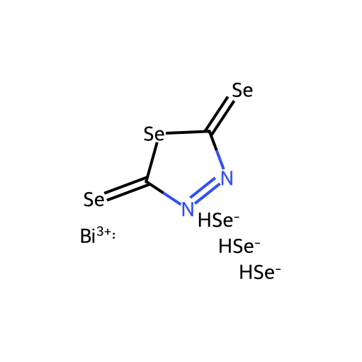 [Bi+3].[SeH-].[SeH-].[SeH-].[Se]=C1N=NC(=[Se])[Se]1